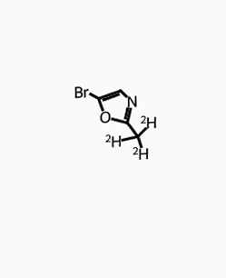 [2H]C([2H])([2H])c1ncc(Br)o1